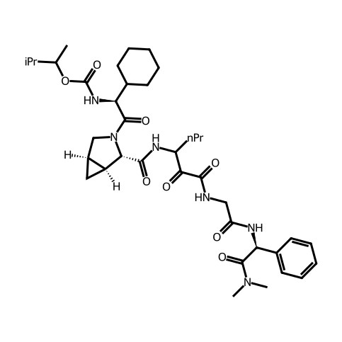 CCCC(NC(=O)[C@@H]1[C@H]2C[C@H]2CN1C(=O)[C@@H](NC(=O)OC(C)C(C)C)C1CCCCC1)C(=O)C(=O)NCC(=O)N[C@H](C(=O)N(C)C)c1ccccc1